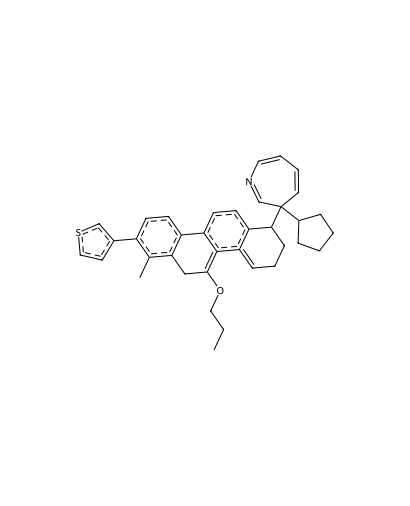 CCCOC1=c2c(ccc3c2=CCCC3C2(C3CCCC3)C=CC=CN=C2)-c2ccc(-c3ccsc3)c(C)c2C1